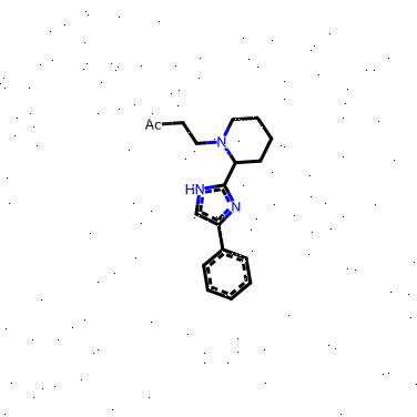 CC(=O)CCN1CCCCC1c1nc(-c2ccccc2)c[nH]1